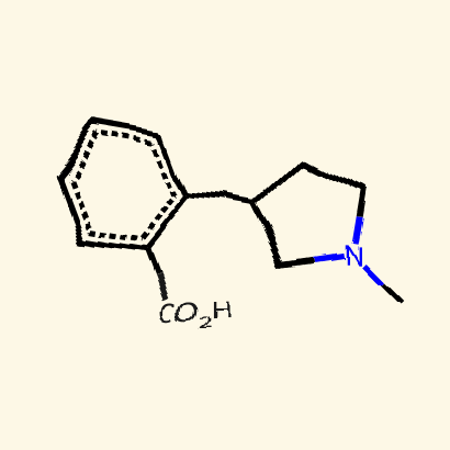 CN1CCC(c2ccccc2C(=O)O)C1